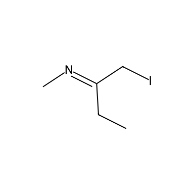 CC/C(CI)=N\C